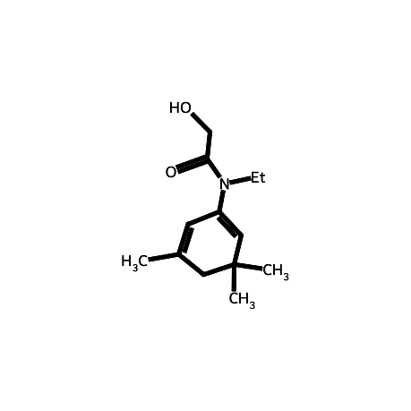 CCN(C(=O)CO)C1=CC(C)(C)CC(C)=C1